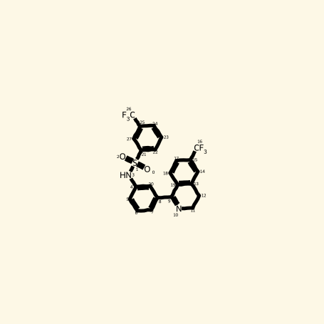 O=S(=O)(Nc1cccc(C2=NCCc3cc(C(F)(F)F)ccc32)c1)c1cccc(C(F)(F)F)c1